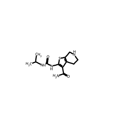 CC(C)NC(=O)Nc1sc2c(c1C(N)=O)CCNC2